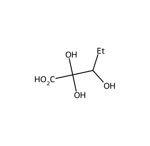 CCC(O)C(O)(O)C(=O)O